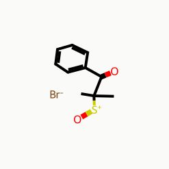 CC(C)([S+]=O)C(=O)c1ccccc1.[Br-]